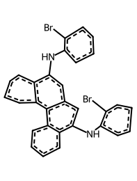 Brc1ccccc1Nc1cc2cc(Nc3ccccc3Br)c3ccccc3c2c2ccccc12